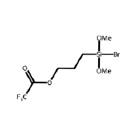 CO[Si](Br)(CCCOC(=O)C(F)(F)F)OC